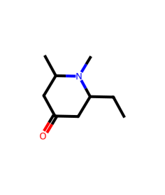 CCC1CC(=O)CC(C)N1C